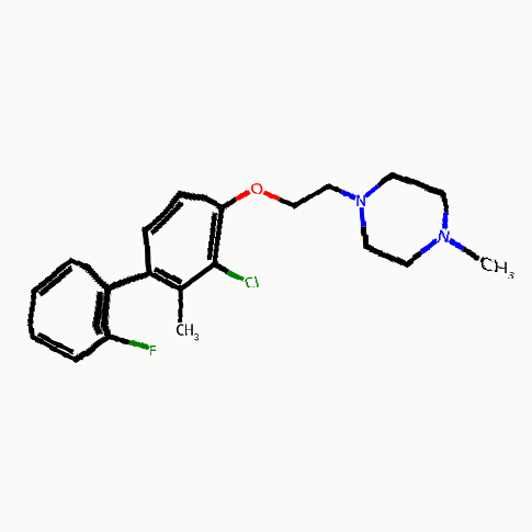 Cc1c(-c2[c]cccc2F)ccc(OCCN2CCN(C)CC2)c1Cl